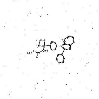 CC(C)(C)OC(=O)NC1(c2ccc(-n3c(-c4ccccc4)cc4nccnc43)cc2)CCC1